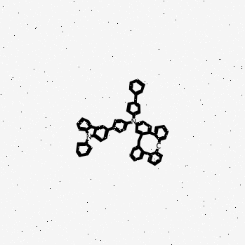 c1ccc(-c2ccc(N(c3ccc(-c4ccc5c(c4)c4ccccc4n5-c4ccccc4)cc3)c3ccc4c(c3)Cc3ccccc3-c3ccccc3Cc3ccccc3-4)cc2)cc1